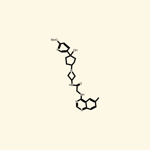 COc1ccc(C2(O)CCC(N3CC(NC(=O)CNc4ncnc5ccc(C)cc45)C3)CC2)cn1